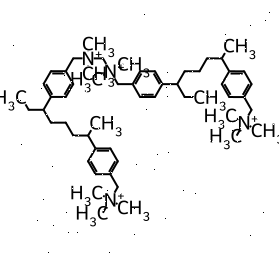 CCC(CCCC(C)c1ccc(C[N+](C)(C)C)cc1)c1ccc(C[N+](C)(C)C[N+](C)(C)Cc2ccc(C(CC)CCCC(C)c3ccc(C[N+](C)(C)C)cc3)cc2)cc1